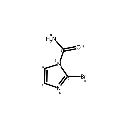 NC(=O)n1ccnc1Br